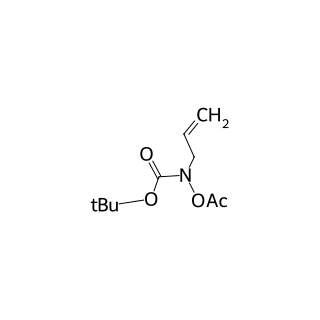 C=CCN(OC(C)=O)C(=O)OC(C)(C)C